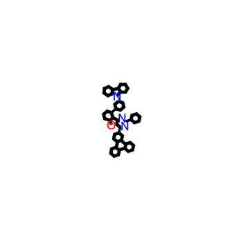 c1ccc(-c2nc(-c3ccc4c5ccccc5c5ccccc5c4c3)c3oc4cccc(-c5cccc(-n6c7ccccc7c7ccccc76)c5)c4c3n2)cc1